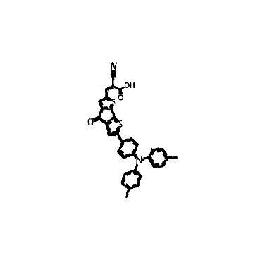 Cc1ccc(N(c2ccc(C)cc2)c2ccc(-c3cc4c(s3)-c3sc(C=C(C#N)C(=O)O)cc3C4=O)cc2)cc1